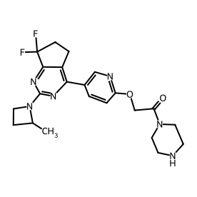 CC1CCN1c1nc(-c2ccc(OCC(=O)N3CCNCC3)nc2)c2c(n1)C(F)(F)CC2